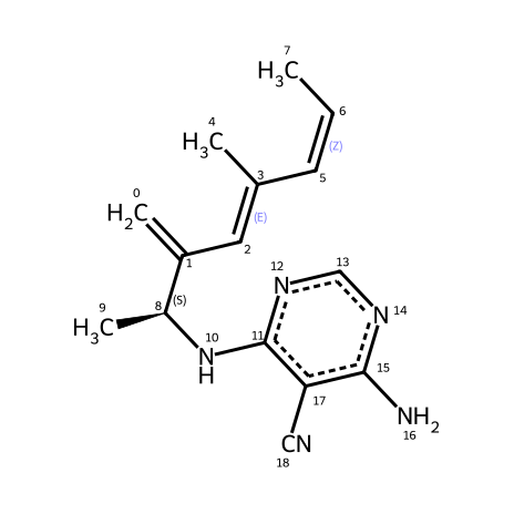 C=C(/C=C(C)/C=C\C)[C@H](C)Nc1ncnc(N)c1C#N